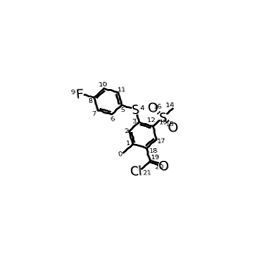 Cc1cc(Sc2ccc(F)cc2)c(S(C)(=O)=O)cc1C(=O)Cl